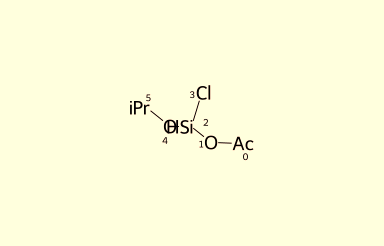 CC(=O)O[SiH](Cl)OC(C)C